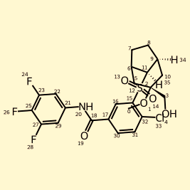 CO[C@]1(CO)CC2CC[C@@H](C1)[C@H]2S(=O)(=O)c1cc(C(=O)Nc2cc(F)c(F)c(F)c2)ccc1Cl